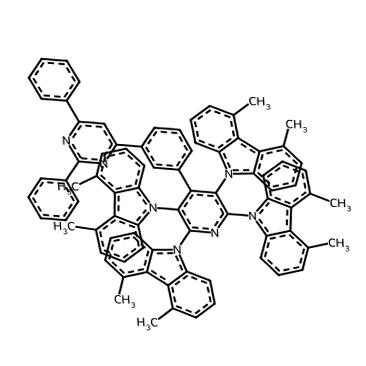 Cc1cccc2c1c1c(C)cccc1n2-c1nc(-n2c3cccc(C)c3c3c(C)cccc32)c(-n2c3cccc(C)c3c3c(C)cccc32)c(-c2cccc(-c3cc(-c4ccccc4)nc(-c4ccccc4)n3)c2)c1-n1c2cccc(C)c2c2c(C)cccc21